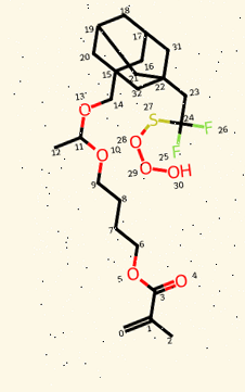 C=C(C)C(=O)OCCCCOC(C)OCC12CC3CC(C1)CC(CC(F)(F)SOOO)(C3)C2